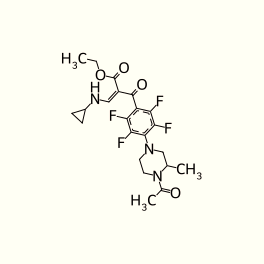 CCOC(=O)C(=CNC1CC1)C(=O)c1c(F)c(F)c(N2CCN(C(C)=O)C(C)C2)c(F)c1F